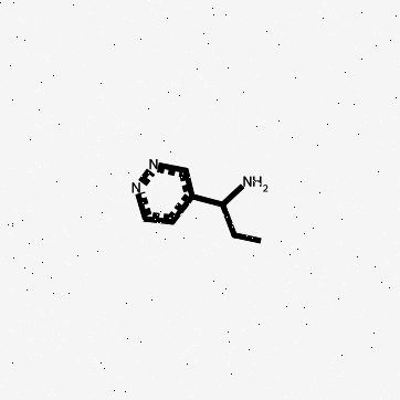 CCC(N)c1ccnnc1